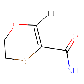 CCC1=C(C([NH])=O)SCCO1